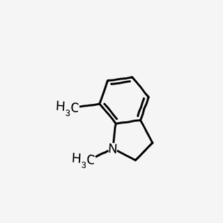 Cc1cccc2c1N(C)CC2